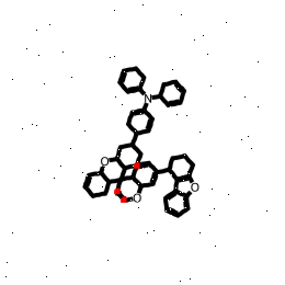 C1=CCCC(N(C2=CCC(C3CCC4C(C3)OC3C=CCCC3C43C4=CCCC=C4OC4C=C(C5CCCc6oc7ccccc7c65)C=CC43)C=C2)C2C=CC=CC2)=C1